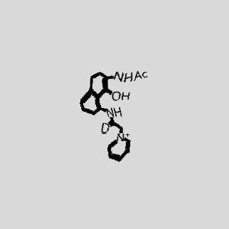 CC(=O)Nc1ccc2cccc(NC(=O)C[n+]3ccccc3)c2c1O